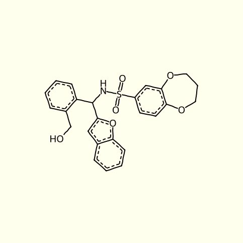 O=S(=O)(NC(c1cc2ccccc2o1)c1ccccc1CO)c1ccc2c(c1)OCCCO2